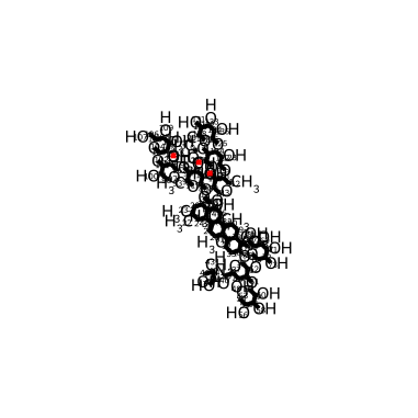 CC(=O)OC1C(C)OC(OC2C(C)OC(OC(=O)[C@]34CCC(C)(C)CC3C3=CCC5[C@@]6(C)CC[C@H](OC7OC(C(=O)NC(C)(CO)CO)C(O)C(OC8OCC(O)C(O)C8O)C7OC7OC(CO)C(O)C(O)C7O)[C@@](C)(C=O)C6CC[C@@]5(C)[C@]3(C)C[C@H]4O)C(OC3OC(C)C(OC4OCC(O)C(OC5OC(CO)C(O)C(O)C5O)C4O)C(O)C3O)C2O)C(O)C1OC1OC(C)C(O)C(O)C1O